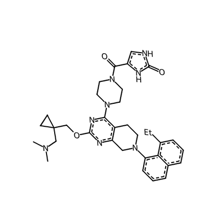 CCc1cccc2cccc(N3CCc4c(nc(OCC5(CN(C)C)CC5)nc4N4CCN(C(=O)c5c[nH]c(=O)[nH]5)CC4)C3)c12